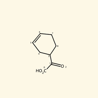 O=C(O)C(=O)C1CC=CCC1